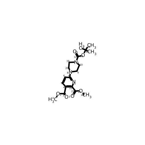 COC(=O)c1ccc(N2CCN(C(=O)OC(C)(C)C)CC2)nc1C(=O)OC